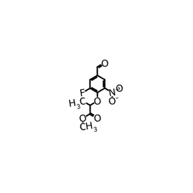 COC(=O)C(C)Oc1c(F)cc(C=O)cc1[N+](=O)[O-]